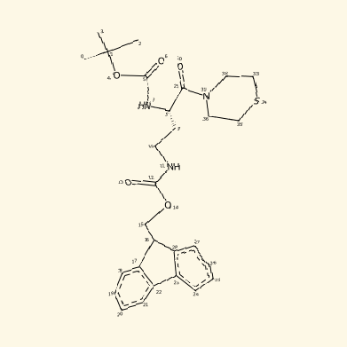 CC(C)(C)OC(=O)N[C@@H](CCNC(=O)OCC1c2ccccc2-c2ccccc21)C(=O)N1CCSCC1